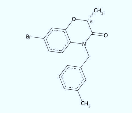 Cc1cccc(CN2C(=O)[C@@H](C)Oc3cc(Br)ccc32)c1